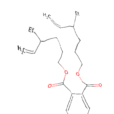 C=CC(CC)CCCOC(=O)c1ccccc1C(=O)OCCCC(C=C)CC